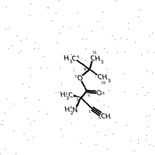 C#C[C@](C)(N)C(=O)OC(C)(C)C